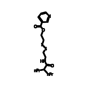 CCCC(CCC)C(=O)NCCSSCCOC(=O)c1cccnc1